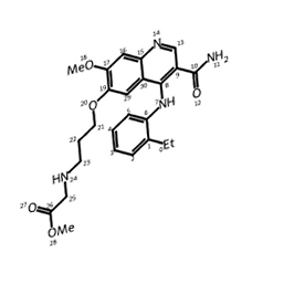 CCc1ccccc1Nc1c(C(N)=O)cnc2cc(OC)c(OCCCNCC(=O)OC)cc12